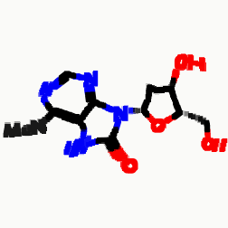 CNc1ncnc2c1[nH]c(=O)n2[C@@H]1C[C@@H](O)[C@H](CO)O1